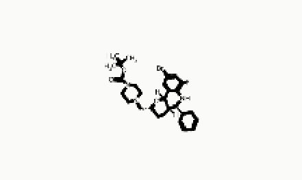 CC(C)(C)OC(=O)N1CCN(C[C@H]2CC[C@@H]3[C@H](O2)c2cc(Br)cc(F)c2N[C@H]3C2C=CC=CC2)CC1